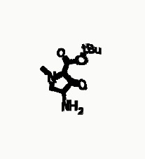 CN1CC(N)C(=O)C1C(=O)OC(C)(C)C